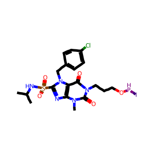 CC(C)NS(=O)(=O)c1nc2c(c(=O)n(CCCOPI)c(=O)n2C)n1Cc1ccc(Cl)cc1